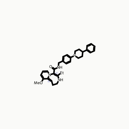 CC/C1=C(\C(=O)NCc2ccc(N3CCC(c4ccccc4)CC3)cc2)N2C=CC=C(OC)/C2=C\CCN1